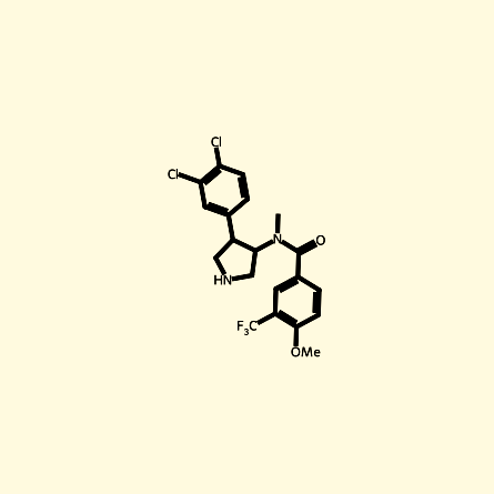 COc1ccc(C(=O)N(C)C2CNCC2c2ccc(Cl)c(Cl)c2)cc1C(F)(F)F